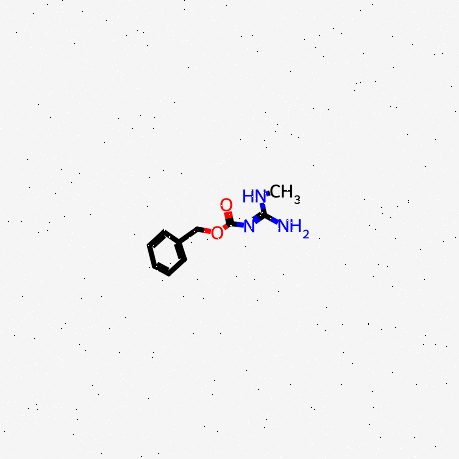 CNC(N)=NC(=O)OCc1ccccc1